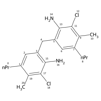 CCCc1cc(Cc2cc(CCC)c(C)c(Cl)c2N)c(N)c(Cl)c1C